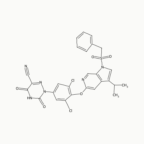 CC(C)c1cn(S(=O)(=O)Cc2ccccc2)c2cnc(Oc3c(Cl)cc(-n4nc(C#N)c(=O)[nH]c4=O)cc3Cl)cc12